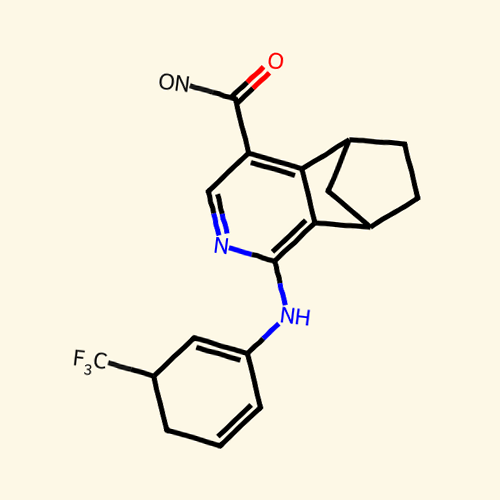 O=NC(=O)c1cnc(NC2=CC(C(F)(F)F)CC=C2)c2c1C1CCC2C1